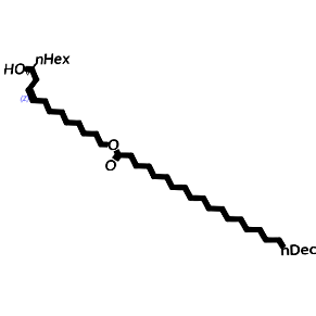 CCCCCCCCCCCCCCCCCCCCCCCCCCCC(=O)OCCCCCCCC/C=C\C[C@H](O)CCCCCC